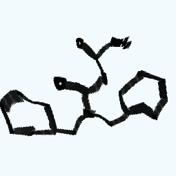 NC(=O)SC(=O)N(Cc1ccccc1)Cc1ccccc1